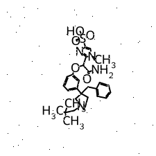 Cn1cc(S(=O)(=O)O)nc1C(Oc1cccc(C2(Cc3ccccc3)CCN(CC(C)(C)C)C2)c1)C(N)=O